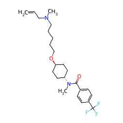 C=CCN(C)CCCCCO[C@H]1CC[C@H](N(C)C(=O)c2ccc(C(F)(F)F)cc2)CC1